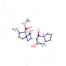 CC1CCC2(CN([C@H](C(=O)N3CCCC3)[C@@H](C)O)C2=O)N1C(=O)OC(C)(C)C